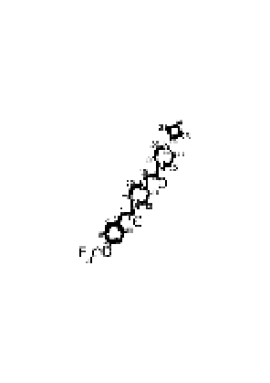 O=C(Cc1ccc(OC(F)(F)F)cc1)N1CCN(CC(=O)N2CCN(C3CCC3)CC2)CC1